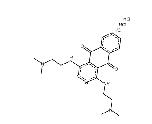 CN(C)CCNc1nnc(NCCN(C)C)c2c1C(=O)c1ccccc1C2=O.Cl.Cl.Cl